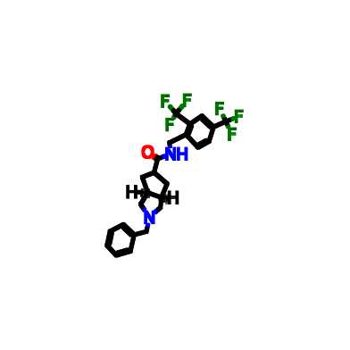 O=C(NCc1ccc(C(F)(F)F)cc1C(F)(F)F)C1C[C@@H]2CN(Cc3ccccc3)C[C@@H]2C1